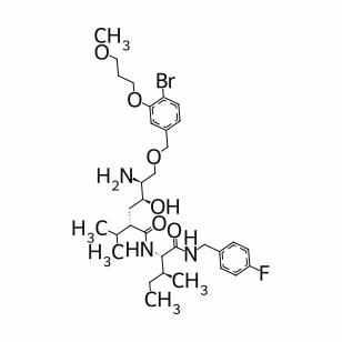 CC[C@H](C)[C@H](NC(=O)[C@@H](C[C@H](O)[C@@H](N)COCc1ccc(Br)c(OCCCOC)c1)C(C)C)C(=O)NCc1ccc(F)cc1